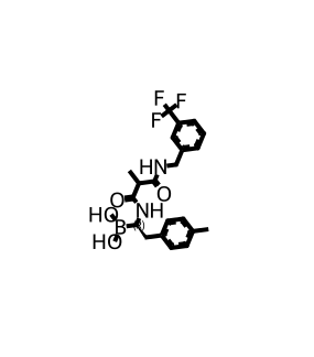 Cc1ccc(C[C@H](NC(=O)C(C)C(=O)NCc2cccc(C(F)(F)F)c2)B(O)O)cc1